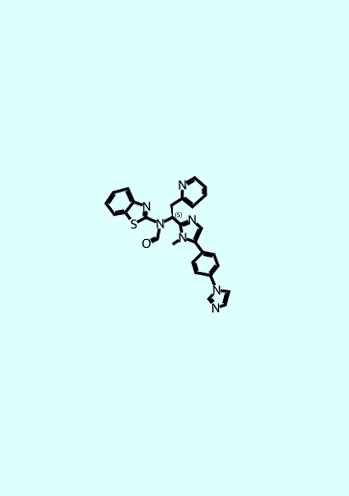 Cn1c(-c2ccc(-n3ccnc3)cc2)cnc1[C@H](Cc1ccccn1)N(C=O)c1nc2ccccc2s1